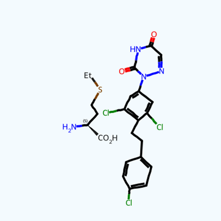 CCSCC[C@H](N)C(=O)O.O=c1cnn(-c2cc(Cl)c(CCc3ccc(Cl)cc3)c(Cl)c2)c(=O)[nH]1